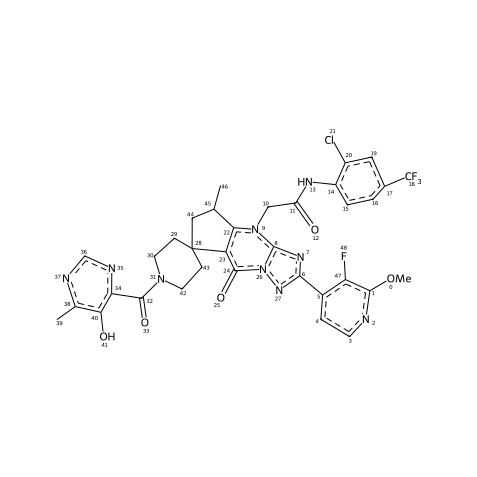 COc1nccc(-c2nc3n(CC(=O)Nc4ccc(C(F)(F)F)cc4Cl)c4c(c(=O)n3n2)C2(CCN(C(=O)c3ncnc(C)c3O)CC2)CC4C)c1F